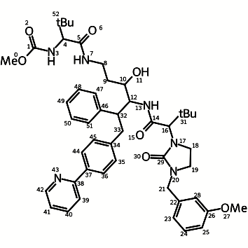 COC(=O)NC(C(=O)NCCC(O)C(NC(=O)C(N1CCN(Cc2cccc(OC)c2)C1=O)C(C)(C)C)C(Cc1ccc(-c2ccccn2)cc1)c1ccccc1)C(C)(C)C